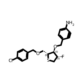 Nc1c#cc(CO[C@H]2[C@H](F)CS[C@@H]2COCc2ccc(Cl)cc2)cc1